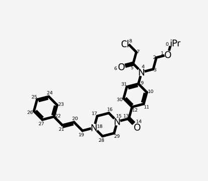 CC(C)OCCN(C(=O)CCl)c1ccc(C(=O)N2CCN(CC=Cc3ccccc3)CC2)cc1